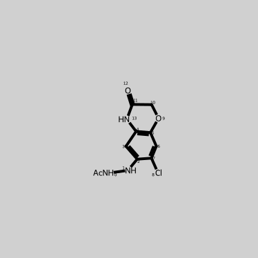 CC(=O)NNc1cc2c(cc1Cl)OCC(=O)N2